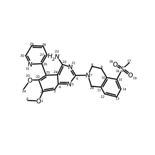 COc1cc2nc(N3CCc4c(cccc4S(C)(=O)=O)C3)nc(N)c2c(-c2ccccn2)c1OC